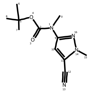 CN(C(=O)OC(C)(C)C)c1cc(C#N)n(C)n1